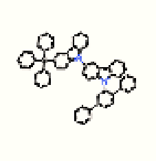 c1ccc(-c2ccc(-c3ccccc3)c(-n3c4ccccc4c4cc(-n5c6ccccc6c6cc([Si](c7ccccc7)(c7ccccc7)c7ccccc7)ccc65)ccc43)c2)cc1